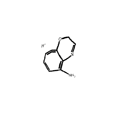 Nc1cccc2c1N=CCO2.[H+]